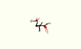 CC(C)C(=O)CC(C)(C)C(=O)C(C)C